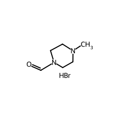 Br.CN1CCN(C=O)CC1